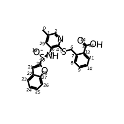 Cc1cnc(SCc2ccccc2C(=O)O)c(N[S+]([O-])c2cc3ccccc3o2)c1